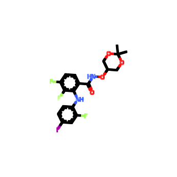 CC1(C)OCC(ONC(=O)c2ccc(F)c(F)c2Nc2ccc(I)cc2F)CO1